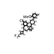 COc1ccc(C)nc1N1CCC(c2nnc3n2-c2ccc(Cl)cc2CN(C2CC(C(F)(F)F)C2)C3)CC1